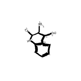 NC1C(Cl)Nc2ccccc2C1C=O